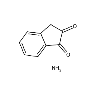 N.O=C1Cc2ccccc2C1=O